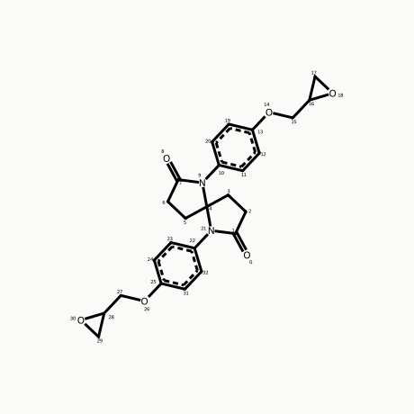 O=C1CCC2(CCC(=O)N2c2ccc(OCC3CO3)cc2)N1c1ccc(OCC2CO2)cc1